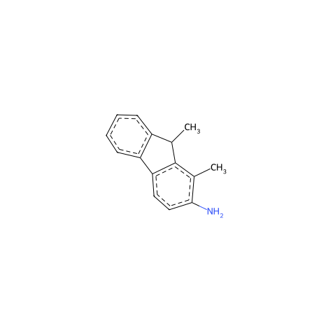 Cc1c(N)ccc2c1C(C)c1ccccc1-2